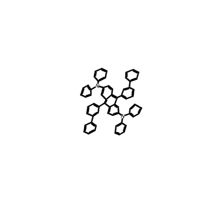 c1ccc(-c2cccc(-c3c4ccc(N(c5ccccc5)c5ccccc5)cc4c(-c4cccc(-c5ccccc5)c4)c4ccc(N(c5ccccc5)c5ccccc5)cc34)c2)cc1